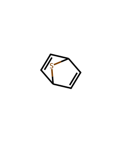 C1=CC2C=CC1S2